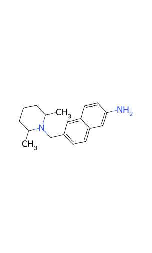 CC1CCCC(C)N1Cc1ccc2cc(N)ccc2c1